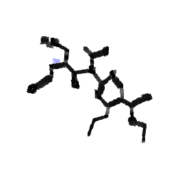 CCCc1nc(N(C(C)=O)C(=O)/C(=C\C=O)CN)ncc1C(=O)OCC